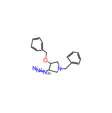 [N-]=[N+]=N[C@@H]1CN(Cc2ccccc2)CC1OCc1ccccc1